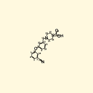 N#Cc1cccc(Oc2cccc(CN3CCN(C(=O)O)CC3)c2)c1